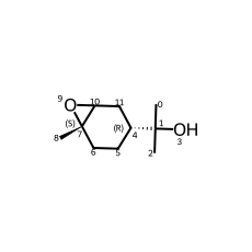 CC(C)(O)[C@@H]1CC[C@]2(C)OC2C1